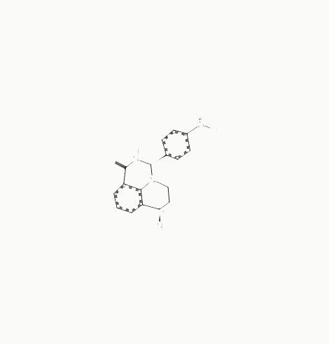 N[C@@H]1CCN2c3c(cccc31)C(=O)N[C@H]2c1ccc([N+](=O)[O-])cc1